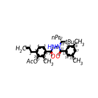 C=CCc1ccc(C(=O)NN(C(=O)c2cc(C)cc(C)c2)[C@H](CCC)C(C)(C)C)c(C)c1OC(C)=O